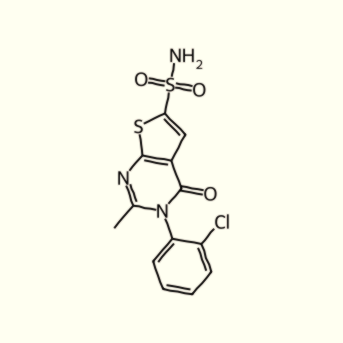 Cc1nc2sc(S(N)(=O)=O)cc2c(=O)n1-c1ccccc1Cl